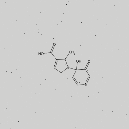 CC1C(C(=O)O)=CCN1C1(O)C=CN=CC1=O